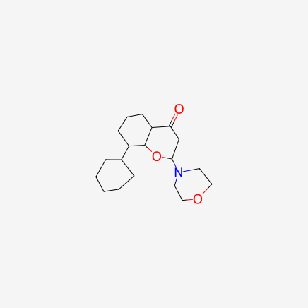 O=C1CC(N2CCOCC2)OC2C1CCCC2C1CCCCC1